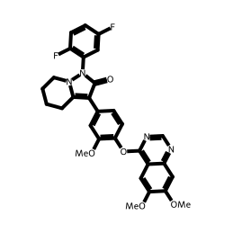 COc1cc2ncnc(Oc3ccc(-c4c5n(n(-c6cc(F)ccc6F)c4=O)CCCC5)cc3OC)c2cc1OC